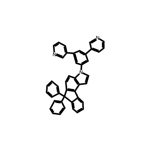 c1ccc(C2(c3ccccc3)c3ccccc3-c3c2ccc2c3ccn2-c2cc(-c3cccnc3)cc(-c3cccnc3)c2)cc1